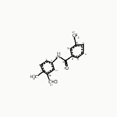 Cc1ccc(NC(=O)c2cccc(C(F)(F)F)c2)cc1C=O